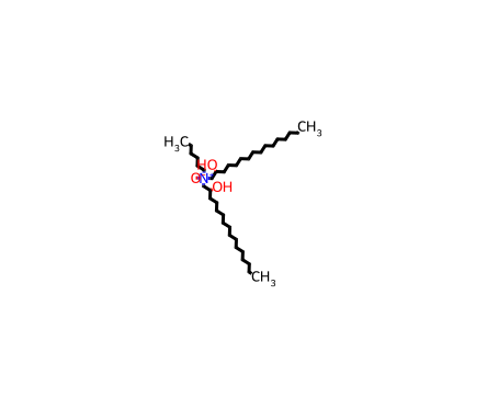 CCCCCCCCCCCCCCC(O)C[N+]([O-])(CCCCCC)CC(O)CCCCCCCCCCCCCC